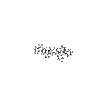 Cc1ccc(N(c2ccc3cc4c(cc3c2)C(C)(C)c2cc3c(cc2-4)C(C)(C)c2ccccc2-3)c2cccc3c2oc2ccccc23)cc1